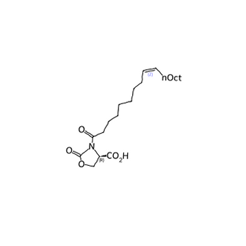 CCCCCCCC/C=C\CCCCCCCC(=O)N1C(=O)OC[C@@H]1C(=O)O